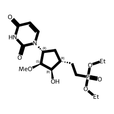 CCOP(=O)(CC[C@H]1C[C@@H](n2ccc(=O)[nH]c2=O)[C@H](OC)[C@@H]1O)OCC